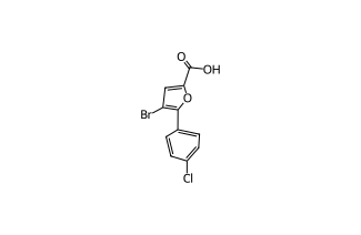 O=C(O)c1cc(Br)c(-c2ccc(Cl)cc2)o1